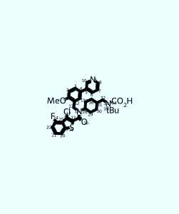 COc1ccc(-c2cccnc2)cc1CN(C(=O)c1sc2cccc(F)c2c1Cl)C1CCC(CN(C(=O)O)C(C)(C)C)CC1